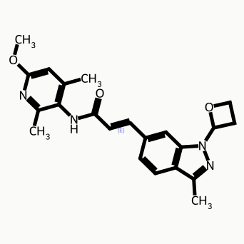 COc1cc(C)c(NC(=O)/C=C/c2ccc3c(C)nn(C4CCO4)c3c2)c(C)n1